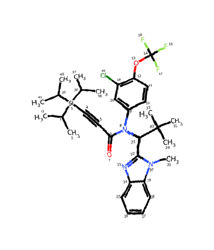 CC(C)[Si](C#CC(=O)N(c1ccc(OC(F)(F)F)c(Cl)c1)C(c1nc2ccccc2n1C)C(C)(C)C)(C(C)C)C(C)C